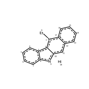 CCn1c2c3ccccc3nc-2cc2ccccc21.I